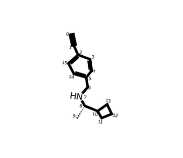 C#Cc1ccc(CN[C@@H](C)C2CCC2)cc1